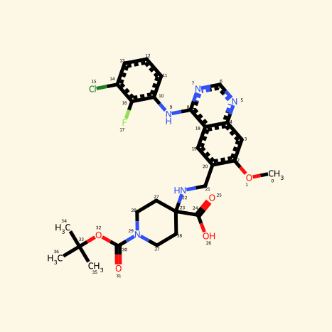 COc1cc2ncnc(Nc3cccc(Cl)c3F)c2cc1CNC1(C(=O)O)CCN(C(=O)OC(C)(C)C)CC1